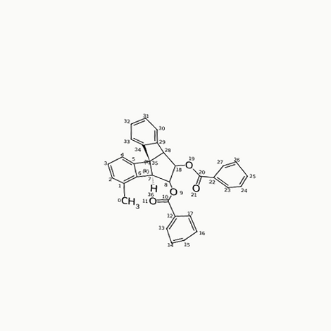 Cc1cccc2c1[C@@H]1C(OC(=O)c3ccccc3)C(OC(=O)c3ccccc3)C3c4ccccc4[C@@]231